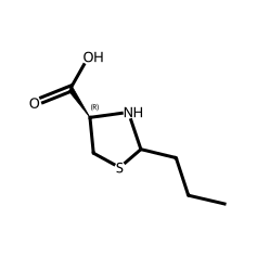 CCCC1N[C@H](C(=O)O)CS1